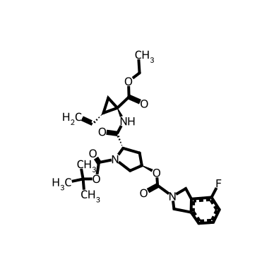 C=C[C@@H]1C[C@]1(NC(=O)[C@@H]1C[C@@H](OC(=O)N2Cc3cccc(F)c3C2)CN1C(=O)OC(C)(C)C)C(=O)OCC